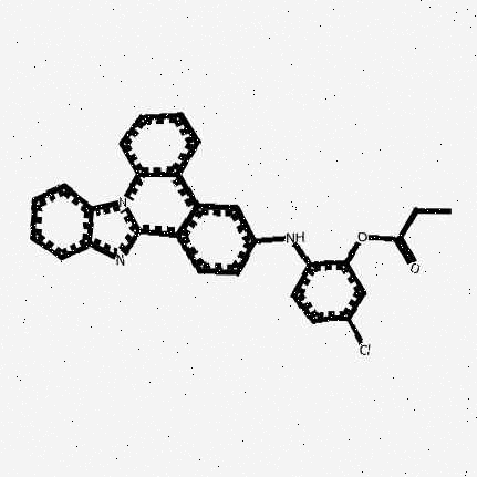 CCC(=O)Oc1cc(Cl)ccc1Nc1ccc2c(c1)c1ccccc1n1c3ccccc3nc21